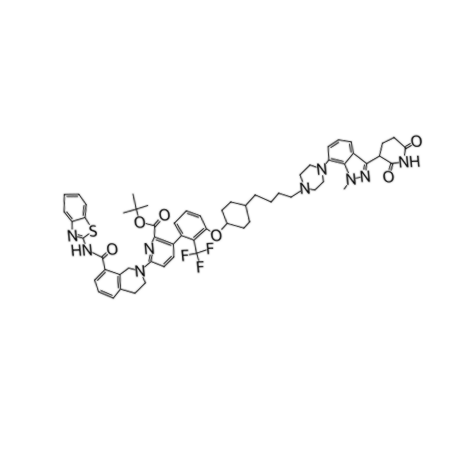 Cn1nc(C2CCC(=O)NC2=O)c2cccc(N3CCN(CCCCC4CCC(Oc5cccc(-c6ccc(N7CCc8cccc(C(=O)Nc9nc%10ccccc%10s9)c8C7)nc6C(=O)OC(C)(C)C)c5C(F)(F)F)CC4)CC3)c21